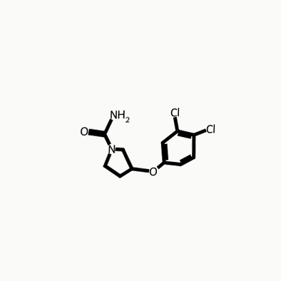 NC(=O)N1CCC(Oc2ccc(Cl)c(Cl)c2)C1